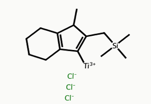 CC1C(C[Si](C)(C)C)=[C]([Ti+3])C2=C1CCCC2.[Cl-].[Cl-].[Cl-]